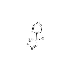 Cl[N+]1(c2ccccc2)C=NN=N1